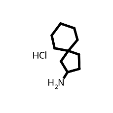 Cl.NC1CCC2(CCCCC2)C1